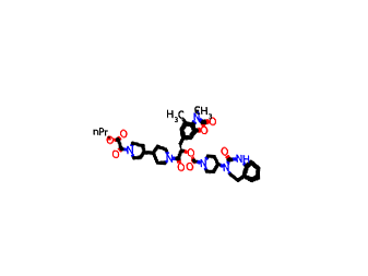 CCCOC(=O)C(=O)N1CCC(C2CCN(C(=O)[C@@H](Cc3cc(C)c4c(c3)oc(=O)n4C)OC(=O)N3CCC(N4CCc5ccccc5NC4=O)CC3)CC2)CC1